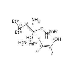 CC(C)=C(C)O.CCCN.CCCNCC(O)=CN(CC)CC.N